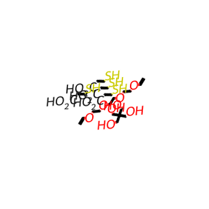 C=COCCOCCOCCOC=C.O=C(O)CCS.O=C(O)CCS.O=C(O)CCS.O=C(O)CCS.OCC(CO)(CO)CO